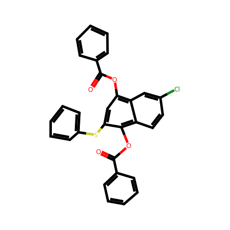 O=C(Oc1cc(Sc2ccccc2)c(OC(=O)c2ccccc2)c2ccc(Cl)cc12)c1ccccc1